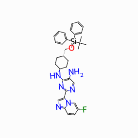 CC(C)(C)[Si](OC[C@H]1CC[C@H](Nc2nc(-c3cnc4ccc(F)cn34)ncc2N)CC1)(c1ccccc1)c1ccccc1